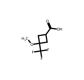 COC1(C(F)(F)F)CC(C(=O)O)C1